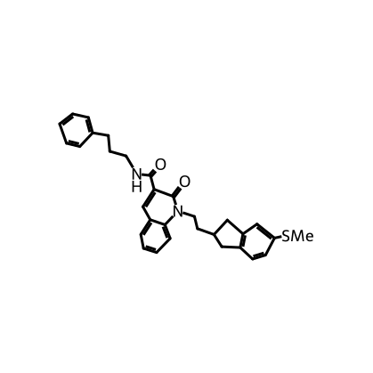 CSc1ccc2c(c1)CC(CCn1c(=O)c(C(=O)NCCCc3ccccc3)cc3ccccc31)C2